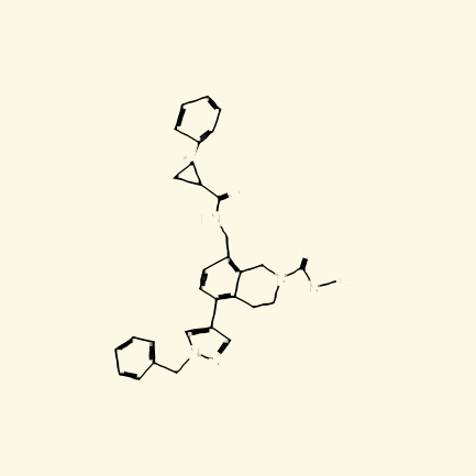 CC(C)(C)NC(=O)N1CCc2c(-c3cnn(Cc4ccccc4)c3)ccc(CNC(=O)C3C[C@H]3c3ccccc3)c2C1